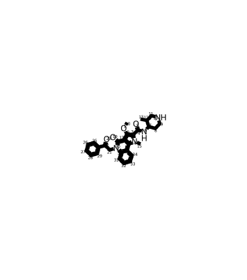 COc1c(C(=O)NC2CCNCC2C)n(C)c2c1c(=O)n(CC(=O)c1ccccc1)c1ccccc21